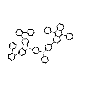 c1ccc(-c2ccccc2-c2ccc3c(c2)c2cc(-c4ccccc4-c4ccccc4)ccc2n3-c2ccc(N(c3ccccc3)c3ccc(-c4ccc5c(-c6ccccc6)c6ccccc6c(-c6ccccc6)c5c4)cc3)cc2)cc1